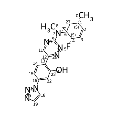 C[C@@H]1C=C[C@H](F)[C@@H](N(C)c2ncc(-c3ccc(-n4ccnn4)cc3O)nn2)C1